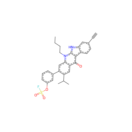 C#Cc1ccc2c(c1)[nH]c1c2c(=O)c2cc(C(C)C)c(-c3cccc(OS(=O)(=O)F)c3)cc2n1CCCC